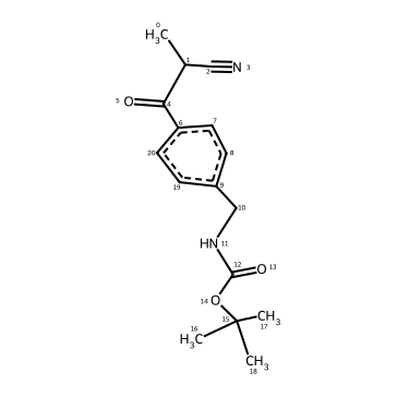 CC(C#N)C(=O)c1ccc(CNC(=O)OC(C)(C)C)cc1